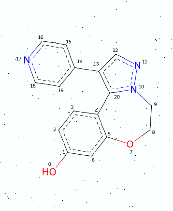 Oc1ccc2c(c1)OCCn1ncc(-c3ccncc3)c1-2